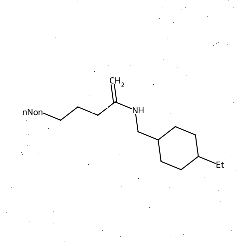 C=C(CCCCCCCCCCCC)NCC1CCC(CC)CC1